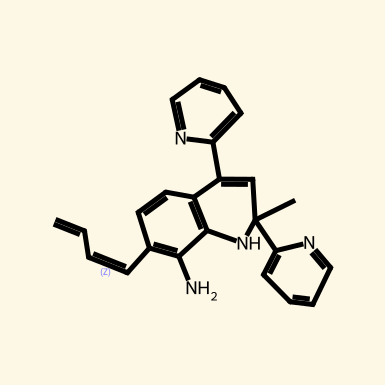 C=C/C=C\c1ccc2c(c1N)NC(C)(c1ccccn1)C=C2c1ccccn1